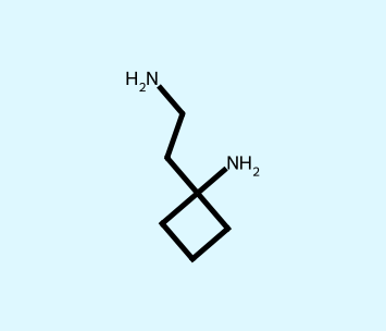 NCCC1(N)CCC1